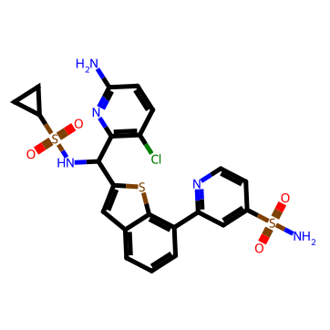 Nc1ccc(Cl)c(C(NS(=O)(=O)C2CC2)c2cc3cccc(-c4cc(S(N)(=O)=O)ccn4)c3s2)n1